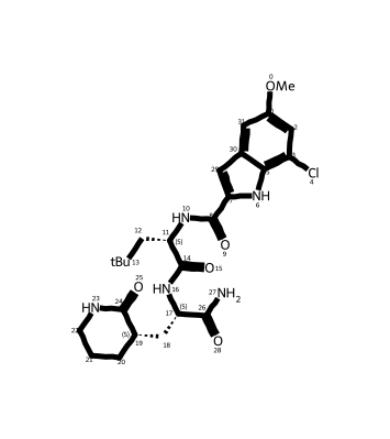 COc1cc(Cl)c2[nH]c(C(=O)N[C@@H](CC(C)(C)C)C(=O)N[C@@H](C[C@@H]3CCCNC3=O)C(N)=O)cc2c1